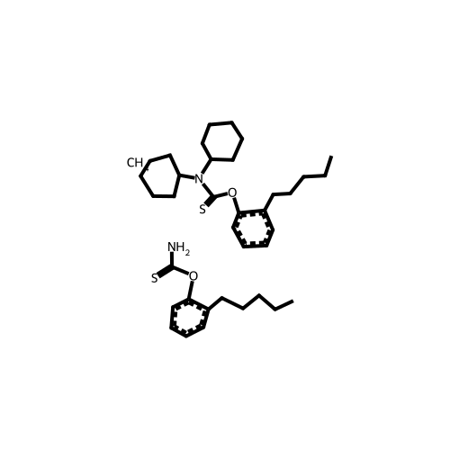 C.CCCCCc1ccccc1OC(=S)N(C1CCCCC1)C1CCCCC1.CCCCCc1ccccc1OC(N)=S